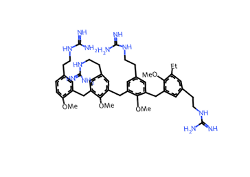 CCc1cc(CCNC(=N)N)cc(Cc2cc(CCNC(=N)N)cc(Cc3cc(CCNC(=N)N)cc(Cc4cc(CCNC(=N)N)ccc4OC)c3OC)c2OC)c1OC